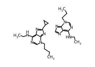 CCCCn1cnc(NCC)c2nc(C3CC3)nc1-2.CCCn1cnc(NCC)c2ncnc1-2